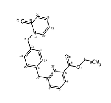 CCOC(=O)c1cccc(Cc2ccc(Cn3ccccc3=O)cc2)n1